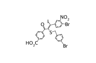 O=C(O)c1ccc(C(=O)C(SCc2ccc(Br)cc2)=C(I)c2ccc(Br)c([N+](=O)[O-])c2)cc1